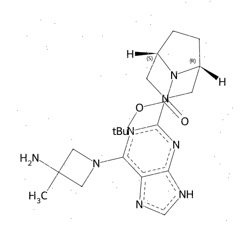 CC1(N)CN(c2nc(N3C[C@H]4CC[C@@H](C3)N4C(=O)OC(C)(C)C)nc3[nH]cnc23)C1